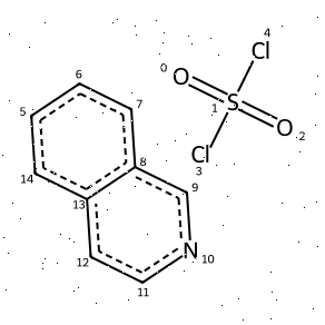 O=S(=O)(Cl)Cl.c1ccc2cnccc2c1